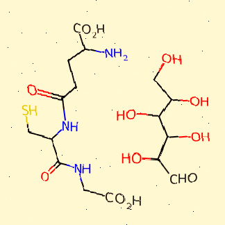 NC(CCC(=O)NC(CS)C(=O)NCC(=O)O)C(=O)O.O=CC(O)C(O)C(O)C(O)CO